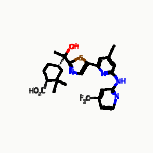 Cc1cc(Nc2cc(C(F)(F)F)ccn2)nc(-c2cnc(C(C)(O)[C@H]3CC[C@H](C(=O)O)C(C)(C)C3)s2)c1